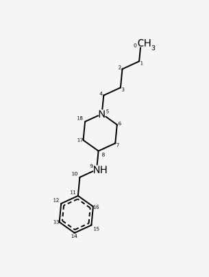 CCCCCN1CCC(NCc2ccccc2)CC1